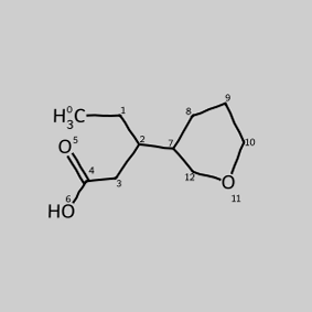 CCC(CC(=O)O)C1CCCOC1